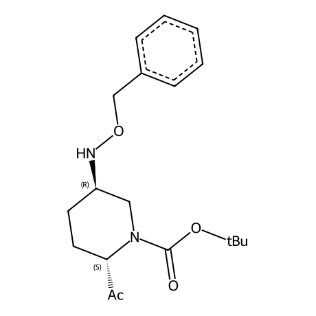 CC(=O)[C@@H]1CC[C@@H](NOCc2ccccc2)CN1C(=O)OC(C)(C)C